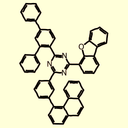 c1ccc(-c2ccc(-c3nc(-c4cccc(-c5cccc6ccc7ccccc7c56)c4)nc(-c4cccc5c4oc4ccccc45)n3)c(-c3ccccc3)c2)cc1